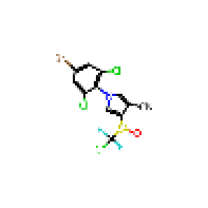 N#Cc1cn(-c2c(Cl)cc(Br)cc2Cl)cc1[S+]([O-])C(F)(F)Cl